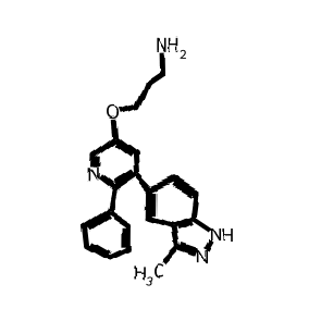 Cc1n[nH]c2ccc(-c3cc(OCCCN)cnc3-c3ccccc3)cc12